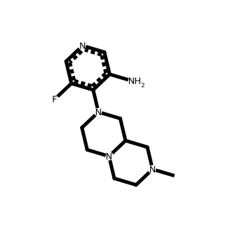 CN1CCN2CCN(c3c(N)cncc3F)CC2C1